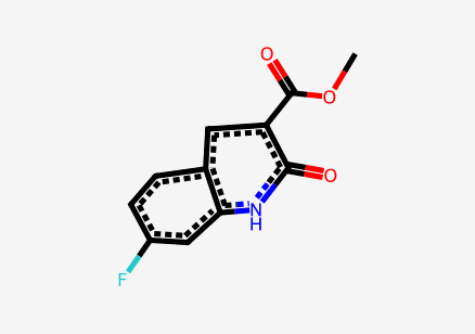 COC(=O)c1cc2ccc(F)cc2[nH]c1=O